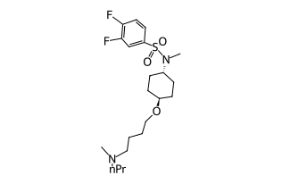 CCCN(C)CCCCO[C@H]1CC[C@H](N(C)S(=O)(=O)c2ccc(F)c(F)c2)CC1